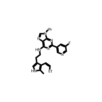 CC/C=C\c1c(CCNc2nc(-c3cncc(F)c3)nc3c2ncn3C(C)C)c[nH]c1C